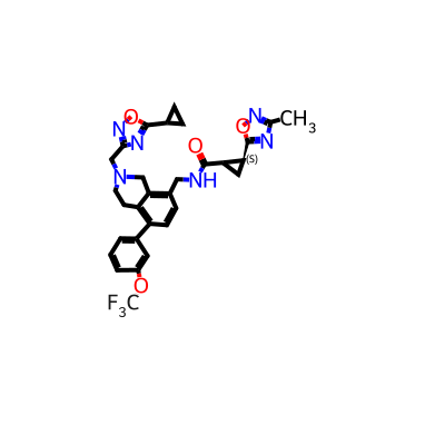 Cc1noc([C@H]2CC2C(=O)NCc2ccc(-c3cccc(OC(F)(F)F)c3)c3c2CN(Cc2noc(C4CC4)n2)CC3)n1